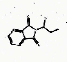 CCC([O])N1C(=O)c2ccccc2C1=O